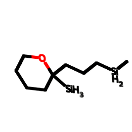 C[SiH2]CCCC1([SiH3])CCCCO1